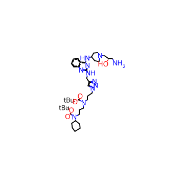 CC(C)(C)OC(=O)N(CCCN(C(=O)OC(C)(C)C)C1CCCCC1)CCCn1cc(CNc2nc(NC3CCN(C[C@H](O)CN)CC3)c3ccccc3n2)nn1